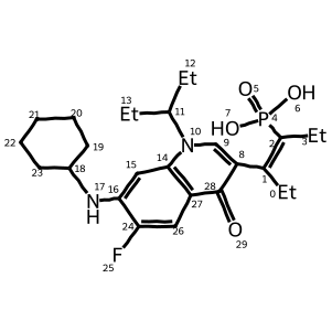 CCC(=C(CC)P(=O)(O)O)c1cn(C(CC)CC)c2cc(NC3CCCCC3)c(F)cc2c1=O